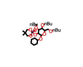 CCCCOCC1OC(OC2CCCCC2)C(OP2(=O)OCC(C)(C)CO2)C(OCCCC)C1OCCCC